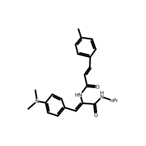 CCCNC(=O)/C(=C/c1ccc(N(C)C)cc1)NC(=O)/C=C/c1ccc(C)cc1